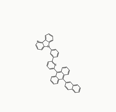 c1cc(-c2cccc(-c3c4ccccc4c(-c4ccc5ccccc5c4)c4ccccc34)n2)cc(-n2c3ccccc3c3ncccc32)c1